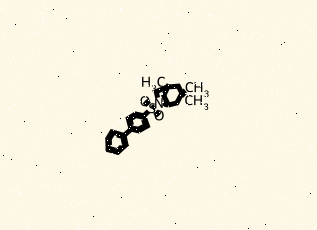 CC1(C)CC2CC(C)(CN2S(=O)(=O)c2ccc(-c3ccccc3)cc2)C1